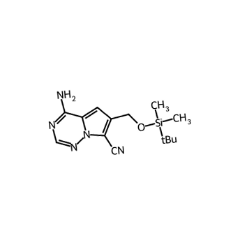 CC(C)(C)[Si](C)(C)OCc1cc2c(N)ncnn2c1C#N